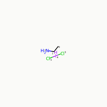 CCN.Cl[IH]Cl